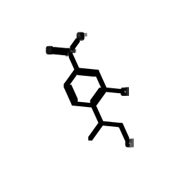 CC(CCl)c1ccc([N+](=O)[O-])cc1Cl